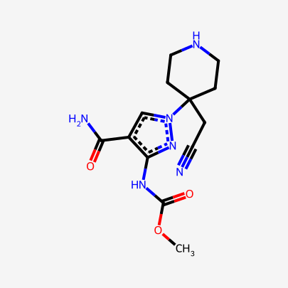 COC(=O)Nc1nn(C2(CC#N)CCNCC2)cc1C(N)=O